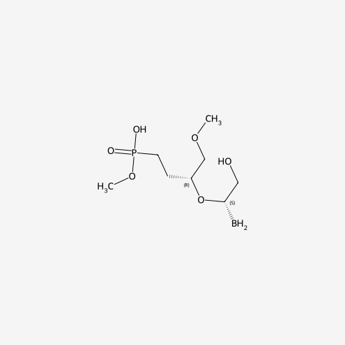 B[C@@H](CO)O[C@H](CCP(=O)(O)OC)COC